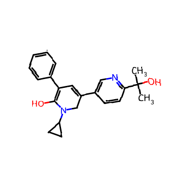 CC(C)(O)c1ccc(C2=CC(c3c[c]ccc3)=C(O)N(C3CC3)C2)cn1